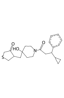 O=C1CSCC1CC1(O)CCN(C(=O)CC(c2ccccc2)C2CC2)CC1